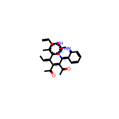 C=CCN/C(C)=N/C(=C1/C=CC=CC1=N)C(/C(C)=O)=C(C(C)=O)\C(=C\C)c1ccccc1C